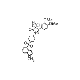 COc1ccc(C2=NN(C3CCN(S(=O)(=O)c4cccc5c4ccn5C)CC3)C(=O)C2(C)C)cc1OC